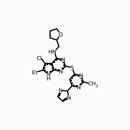 CCc1[nH]c2nc(Sc3cc(C4N=CC=N4)nc(C)n3)nc(NCC3CCCO3)c2c1Cl